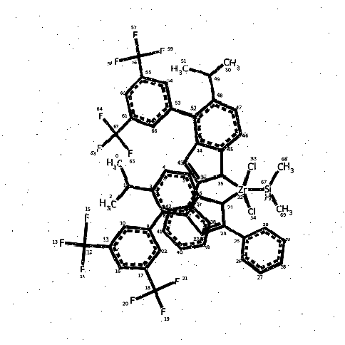 CC(C)c1ccc2c(c1-c1cc(C(F)(F)F)cc(C(F)(F)F)c1)C=C(c1ccccc1)[CH]2[Zr]([Cl])([Cl])([CH]1C(c2ccccc2)=Cc2c1ccc(C(C)C)c2-c1cc(C(F)(F)F)cc(C(F)(F)F)c1)[SiH](C)C